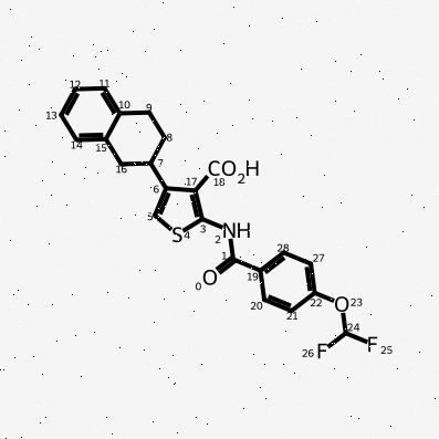 O=C(Nc1scc(C2CCc3ccccc3C2)c1C(=O)O)c1ccc(OC(F)F)cc1